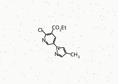 CCOC(=O)c1cc(-n2cc(C)cn2)cnc1Cl